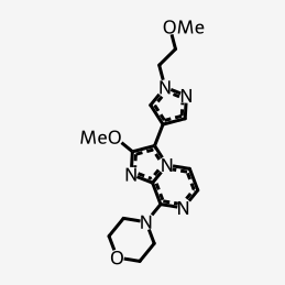 COCCn1cc(-c2c(OC)nc3c(N4CCOCC4)nccn23)cn1